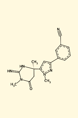 CN1C(=N)N[C@@](C)(c2cc(-c3cccc(C#N)c3)nn2C)CC1=O